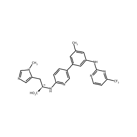 Cc1cc(Nc2nccc(C(F)(F)F)n2)cc(-c2ccc(N[C@H](Cc3cncn3C)C(=O)O)nc2)c1